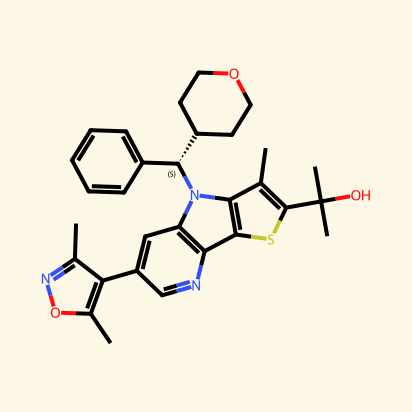 Cc1noc(C)c1-c1cnc2c3sc(C(C)(C)O)c(C)c3n([C@H](c3ccccc3)C3CCOCC3)c2c1